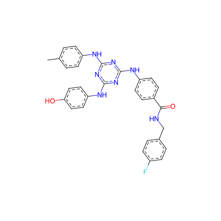 Cc1ccc(Nc2nc(Nc3ccc(O)cc3)nc(Nc3ccc(C(=O)NCc4ccc(F)cc4)cc3)n2)cc1